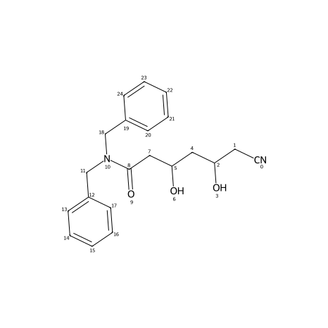 N#CCC(O)CC(O)CC(=O)N(Cc1ccccc1)Cc1ccccc1